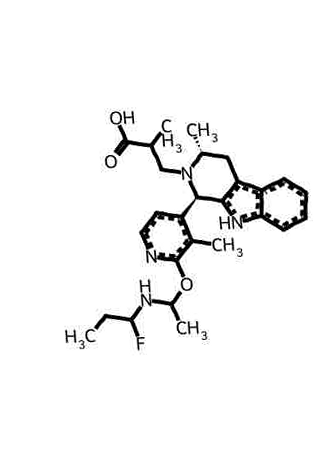 CCC(F)NC(C)Oc1nccc([C@@H]2c3[nH]c4ccccc4c3C[C@@H](C)N2CC(C)C(=O)O)c1C